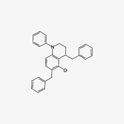 [O]c1c(Cc2ccccc2)ccc2c1C(Cc1ccccc1)CCN2c1ccccc1